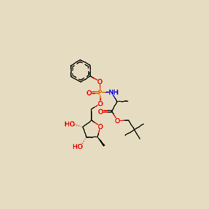 CC(NP(=O)(OCC1O[C@@H](C)[C@H](O)[C@@H]1O)Oc1ccccc1)C(=O)OCC(C)(C)C